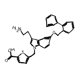 NCCc1cn(Cc2ccc(C(=O)O)s2)c2ccc(OCc3ccccc3-c3ccccc3)cc12